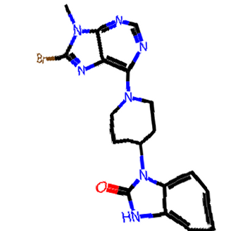 Cn1c(Br)nc2c(N3CCC(n4c(=O)[nH]c5ccccc54)CC3)ncnc21